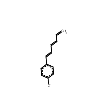 C=CC=CC=Cc1ccc(Cl)cc1